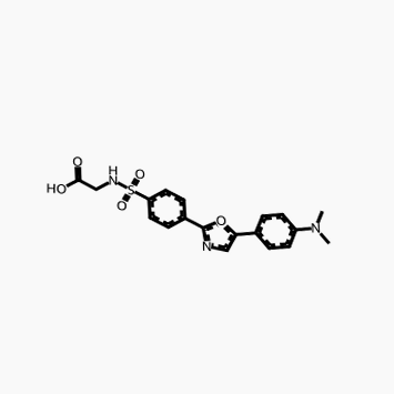 CN(C)c1ccc(-c2cnc(-c3ccc(S(=O)(=O)NCC(=O)O)cc3)o2)cc1